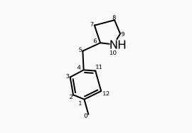 Cc1ccc(CC2CCCN2)cc1